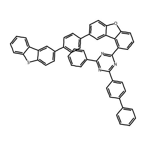 c1ccc(-c2ccc(-c3nc(-c4ccccc4)nc(-c4cccc5oc6ccc(-c7ccc(-c8ccc9sc%10ccccc%10c9c8)cc7)cc6c45)n3)cc2)cc1